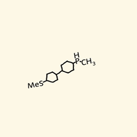 CPC1CCC(C2CCC(SC)CC2)CC1